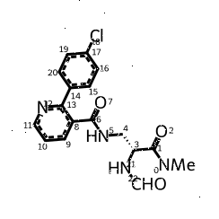 CNC(=O)[C@@H](CNC(=O)c1cccnc1-c1ccc(Cl)cc1)NC=O